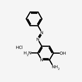 Cl.Nc1nc(N)c(N=Nc2ccccc2)cc1O